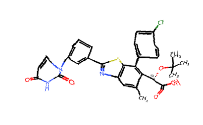 Cc1cc2nc(-c3cccc(-n4ccc(=O)[nH]c4=O)c3)sc2c(-c2ccc(Cl)cc2)c1[C@H](OC(C)(C)C)C(=O)O